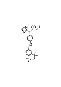 Cn1cnnc1[C@H](CC(=O)O)c1ccc(OCc2ccc3c(c2)C(C)(C)CCC3(C)C)cc1